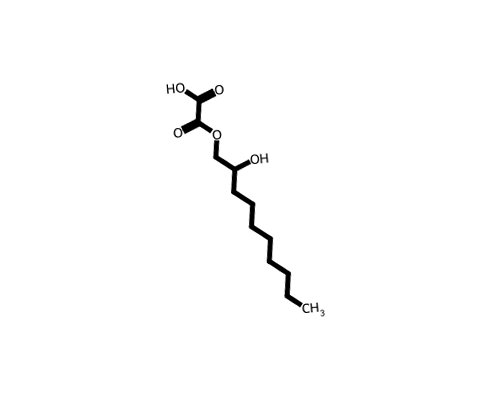 CCCCCCCCC(O)COC(=O)C(=O)O